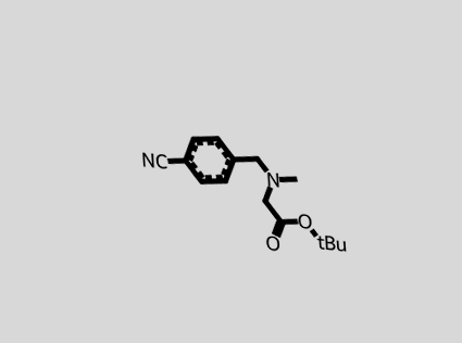 CN(CC(=O)OC(C)(C)C)Cc1ccc(C#N)cc1